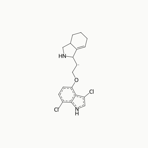 Clc1ccc(OC[CH]C2NCC3CCCC=C32)c2c(Cl)c[nH]c12